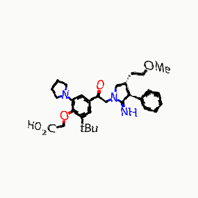 COCC[C@H]1CN(CC(=O)c2cc(N3CCCC3)c(OCC(=O)O)c(C(C)(C)C)c2)C(=N)[C@@H]1c1ccccc1